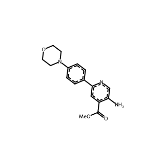 COC(=O)c1cc(-c2ccc(N3CCOCC3)cc2)ncc1N